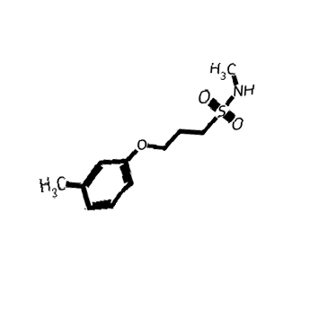 CNS(=O)(=O)CCCOc1cc[c]c(C)c1